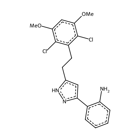 COc1cc(OC)c(Cl)c(CCc2cc(-c3ccccc3N)n[nH]2)c1Cl